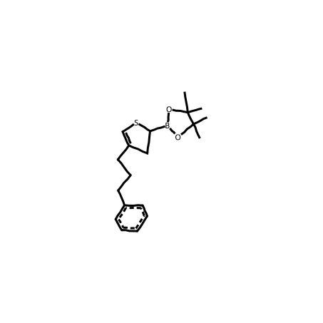 CC1(C)OB(C2CC(CCCc3ccccc3)=CS2)OC1(C)C